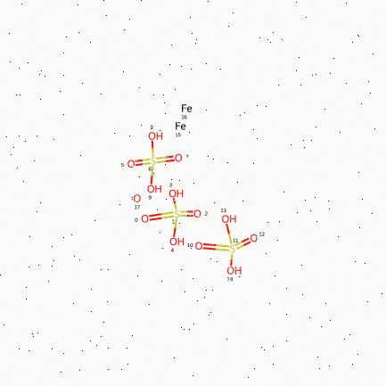 O=S(=O)(O)O.O=S(=O)(O)O.O=S(=O)(O)O.[Fe].[Fe].[O]